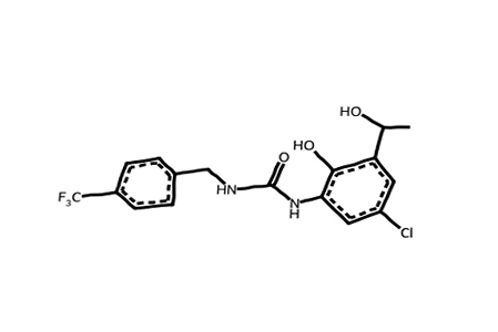 CC(O)c1cc(Cl)cc(NC(=O)NCc2ccc(C(F)(F)F)cc2)c1O